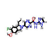 CCC1c2cc(F)c(OC)cc2CN1c1cnc(C(=O)Nc2nccn2C)nc1